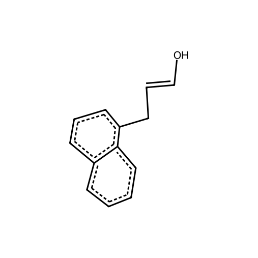 OC=CCc1cccc2ccccc12